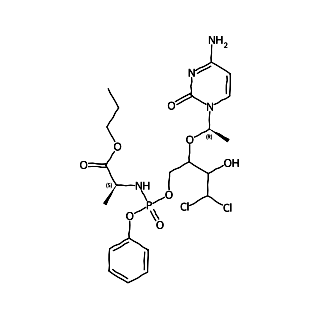 CCCOC(=O)[C@H](C)NP(=O)(OCC(O[C@H](C)n1ccc(N)nc1=O)C(O)C(Cl)Cl)Oc1ccccc1